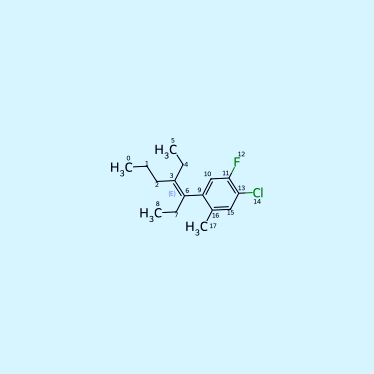 CCC/C(CC)=C(\CC)c1cc(F)c(Cl)cc1C